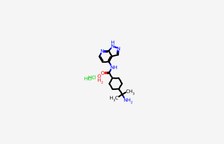 CC(C)(N)C1CCC(C(=O)Nc2ccnc3[nH]ncc23)CC1.Cl.Cl.O